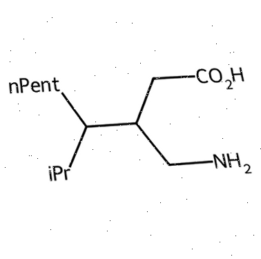 CCCCCC(C(C)C)C(CN)CC(=O)O